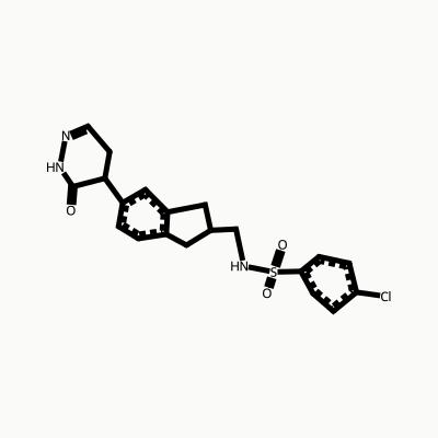 O=C1NN=CCC1c1ccc2c(c1)CC(CNS(=O)(=O)c1ccc(Cl)cc1)C2